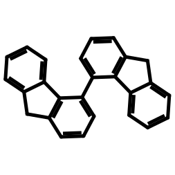 c1ccc2c(c1)Cc1cccc(-c3cccc4c3-c3ccccc3C4)c1-2